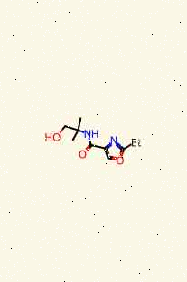 CCc1nc(C(=O)NC(C)(C)CO)co1